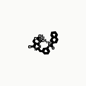 C=CN(C)c1nc(Cc2cccc(NC(=O)c3ccc4ccccc4c3)c2)nc(Cl)c1CC(=O)O